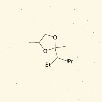 CCC(C(C)C)C1(C)OCC(C)O1